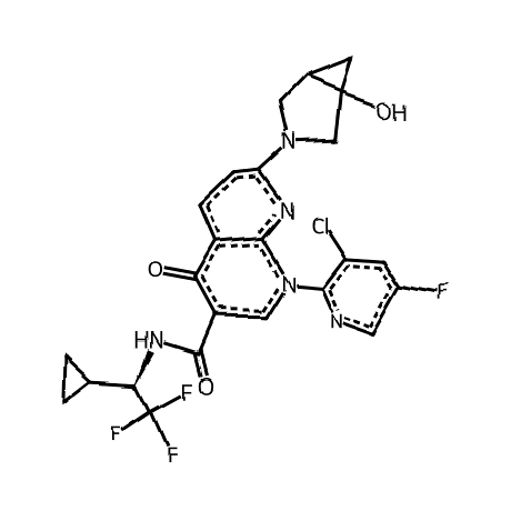 O=C(N[C@H](C1CC1)C(F)(F)F)c1cn(-c2ncc(F)cc2Cl)c2nc(N3CC4CC4(O)C3)ccc2c1=O